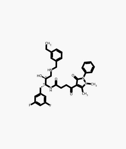 CCc1cccc(CNC[C@H](O)[C@@H](Cc2cc(F)cc(F)c2)NC(=O)CCC(=O)c2c(C)n(C)n(-c3ccccc3)c2=O)c1